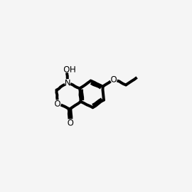 CCOc1ccc2c(c1)N(O)COC2=O